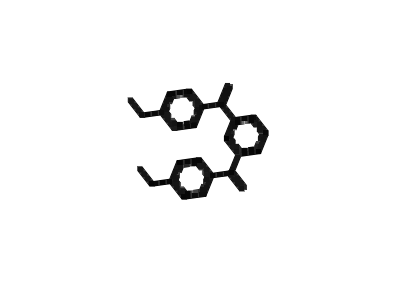 C=C(c1ccc(CC)cc1)c1cccc(C(=C)c2ccc(CC)cc2)c1